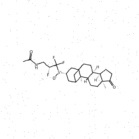 CC(=O)NC[C@@H](F)C(F)(F)[S+]([O-])[C@H]1CC2CC3C[C@H]4[C@H]5CCC(=O)[C@@]5(C)CC[C@@H]4[C@]2(C)C3C1